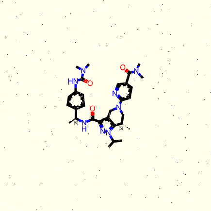 CC(C)n1nc(C(=O)N[C@@H](C)c2ccc(NC(=O)N(C)C)cc2)c2c1[C@@H](C)CN(c1ccc(C(=O)N(C)C)cn1)C2